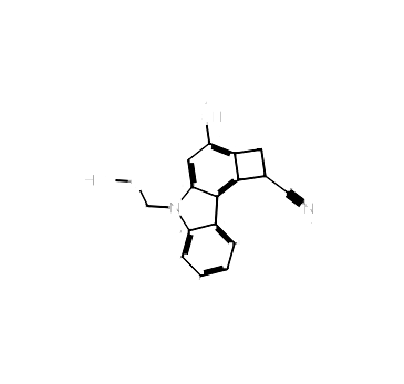 COCn1c2ccccc2c2c3c(c(C)cc21)CC3C#N